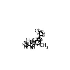 CCCN(c1nnc(-c2cncnc2)n1C)C(C)c1cc(-c2cccc(Cl)c2)on1